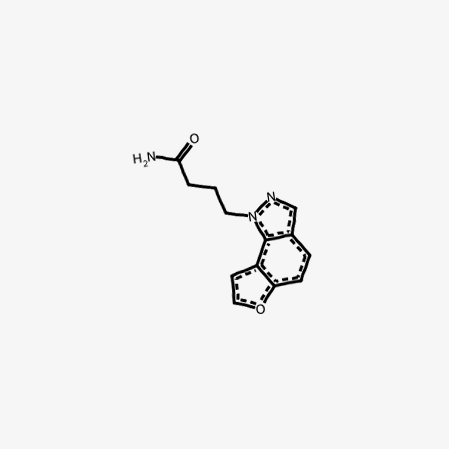 NC(=O)CCCn1ncc2ccc3occc3c21